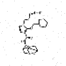 [N-]=[N+]=NCCn1ncc(C(=O)NC2C3CC4CC(C3)CC2C4)c1OCC1CCCCC1